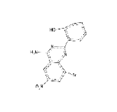 Nc1nc(-c2ccccc2O)nc2c(Br)cc([N+](=O)[O-])cc12